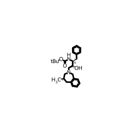 C[C@@H]1Cc2ccccc2CN(C[C@@H](O)[C@H](Cc2ccccc2)NC(=O)OC(C)(C)C)C1